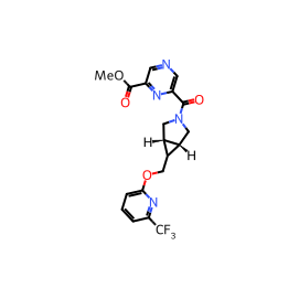 COC(=O)c1cncc(C(=O)N2C[C@@H]3C(COc4cccc(C(F)(F)F)n4)[C@@H]3C2)n1